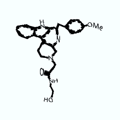 COc1ccc(Cc2nc3c(c4c2[nH]c2ccccc24)CCN(CC(=O)NCCO)C3)cc1